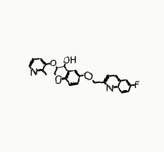 Cc1ncccc1OC1COc2ccc(OCc3ccc4cc(F)ccc4n3)cc2C1O